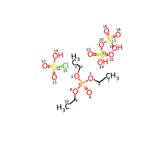 CCOP(=O)(OCC)OCC.O=S(=O)(O)Cl.O=S(=O)(O)OS(=O)(=O)O